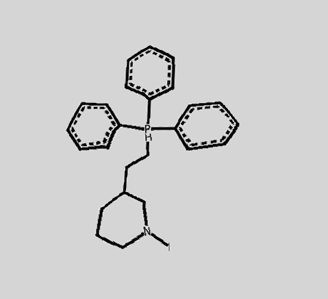 IN1CCCC(CC[PH](c2ccccc2)(c2ccccc2)c2ccccc2)C1